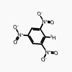 [2H]c1c([N+](=O)[O-])cc([N+](=O)[O-])cc1[N+](=O)[O-]